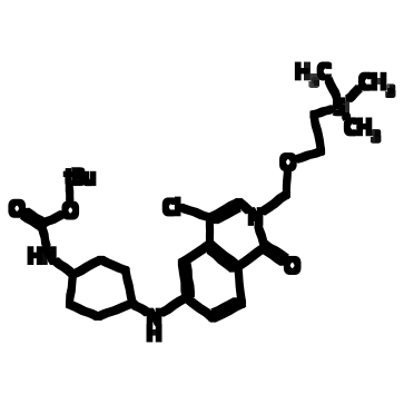 CC(C)(C)OC(=O)NC1CCC(Nc2ccc3c(=O)n(COCC[Si](C)(C)C)cc(Cl)c3c2)CC1